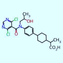 CC(O)CN(C(=O)c1c(Cl)ncnc1Cl)c1ccc(C2CCC(C(C)C(=O)O)CC2)cc1